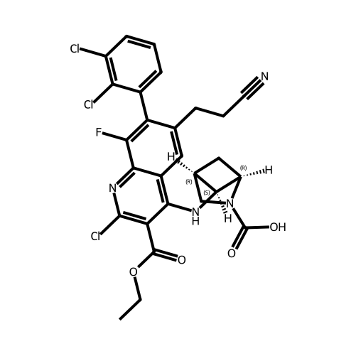 CCOC(=O)c1c(Cl)nc2c(F)c(-c3cccc(Cl)c3Cl)c(CCC#N)cc2c1N[C@H]1[C@@H]2C[C@H]1N(C(=O)O)C2